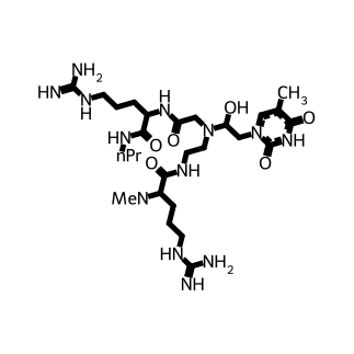 CCCNC(=O)C(CCCNC(=N)N)NC(=O)CN(CCNC(=O)C(CCCNC(=N)N)NC)C(O)Cn1cc(C)c(=O)[nH]c1=O